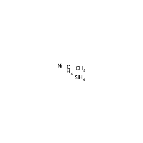 C.C.[Ni].[SiH4]